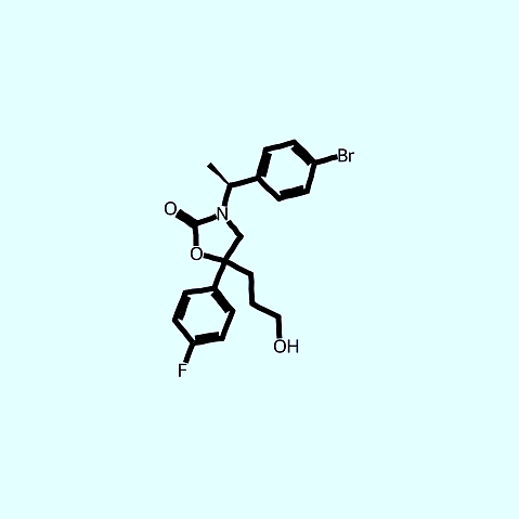 C[C@@H](c1ccc(Br)cc1)N1CC(CCCO)(c2ccc(F)cc2)OC1=O